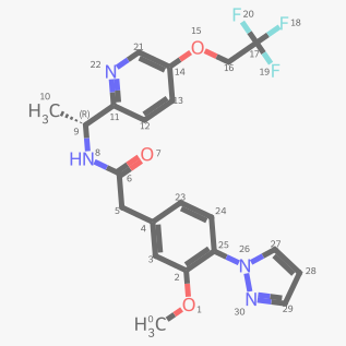 COc1cc(CC(=O)N[C@H](C)c2ccc(OCC(F)(F)F)cn2)ccc1-n1cccn1